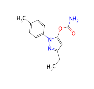 CCc1cc(OC(N)=O)n(-c2ccc(C)cc2)n1